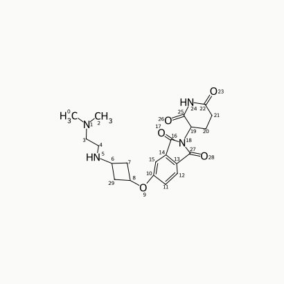 CN(C)CCNC1CC(Oc2ccc3c(c2)C(=O)N(C2CCC(=O)NC2=O)C3=O)C1